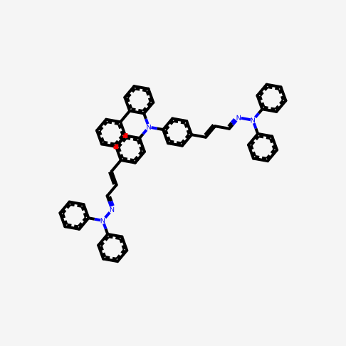 C(=C\c1ccc(N(c2ccc(/C=C/C=N/N(c3ccccc3)c3ccccc3)cc2)c2ccccc2-c2ccccc2)cc1)/C=N/N(c1ccccc1)c1ccccc1